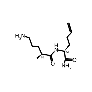 C=CCC[C@H](NC(=O)[C@@H](C)CCCN)C(N)=O